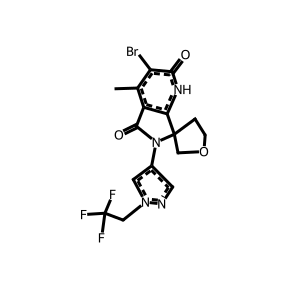 Cc1c2c([nH]c(=O)c1Br)C1(CCOC1)N(c1cnn(CC(F)(F)F)c1)C2=O